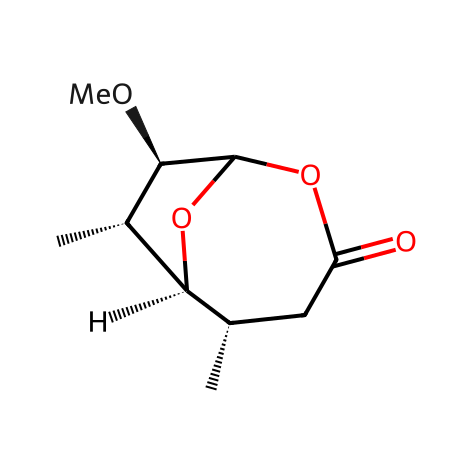 CO[C@H]1C2OC(=O)C[C@H](C)[C@H](O2)[C@@H]1C